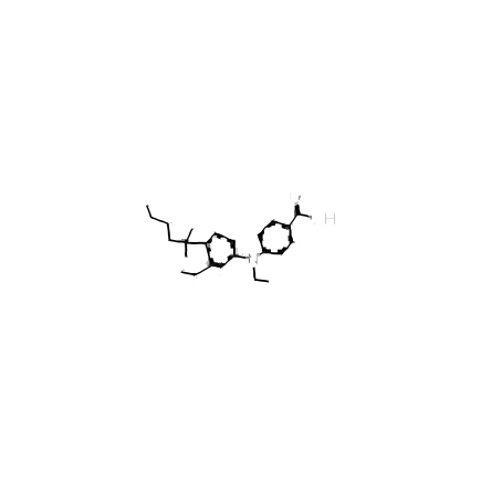 CCCCC(C)(C)c1ccc(N(CC)c2ccc(C(=O)O)cc2)cc1CC